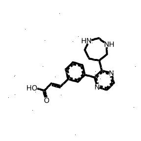 O=C(O)/C=C/c1cccc(-c2nccnc2C2CCNCNC2)c1